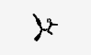 C#CC(C#CC)N(C)C(C)=O